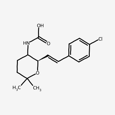 CC1(C)CCC(NC(=O)O)[C@@H](C=Cc2ccc(Cl)cc2)O1